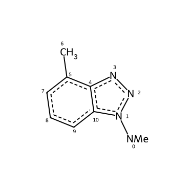 CNn1nnc2c(C)cccc21